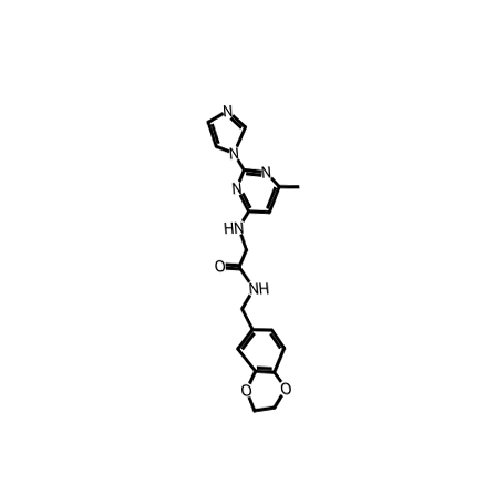 Cc1cc(NCC(=O)NCc2ccc3c(c2)OCCO3)nc(-n2ccnc2)n1